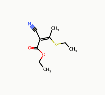 CCOC(=O)C(C#N)=C(C)SCC